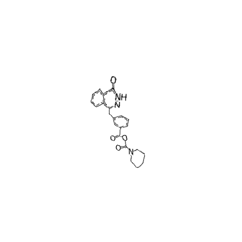 O=C(OC(=O)N1CCCCC1)c1cccc(Cc2n[nH]c(=O)c3ccccc23)c1